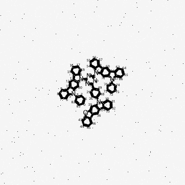 c1ccc(-n2c3ccccc3c3cc4c5ccccc5n(-c5nc(-c6ccc(-n7c8ccccc8c8cc9c(cc87)oc7ccccc79)cc6)nc(-n6c7ccccc7c7cc8c9ccccc9n(-c9ccccc9)c8cc76)n5)c4cc32)cc1